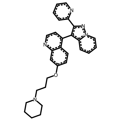 c1ccc(-c2nn3ccccc3c2-c2ccnc3cc(OCCCN4CCCCC4)ccc23)nc1